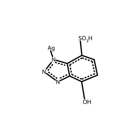 O=S(=O)(O)c1ccc(O)c2nn[n]([Ag])c12